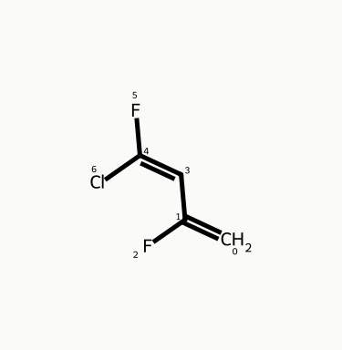 C=C(F)C=C(F)Cl